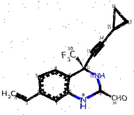 C=Cc1ccc2c(c1)NC(C=O)N[C@]2(C#CC1CC1)C(F)(F)F